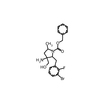 CC1CC(N)(CO)C(Cc2cccc(Br)c2F)N1C(=O)OCc1ccccc1